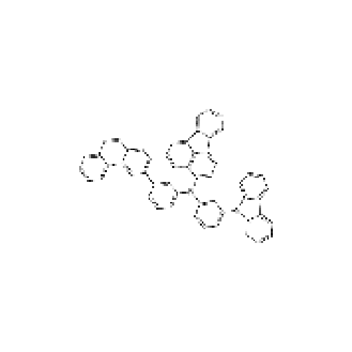 c1cc(-c2ccc3ccc4ccccc4c3c2)cc(N(c2cccc(-n3c4ccccc4c4ccccc43)c2)c2ccc3c4c(cccc24)-c2ccccc2-3)c1